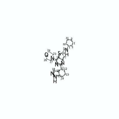 c1ccc(NCc2cc3nc(-c4cccc5[nH]ncc45)nc(N4CCOCC4)c3s2)cc1